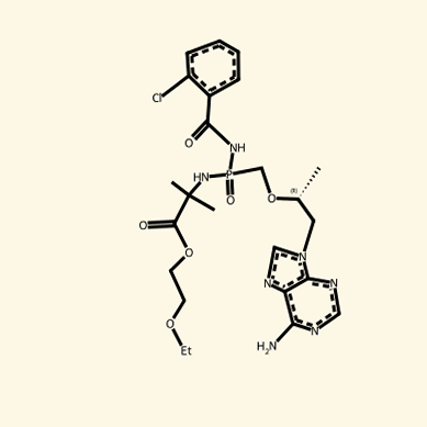 CCOCCOC(=O)C(C)(C)NP(=O)(CO[C@H](C)Cn1cnc2c(N)ncnc21)NC(=O)c1ccccc1Cl